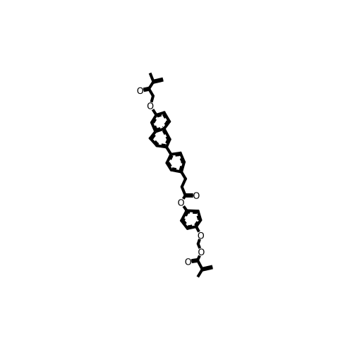 C=C(C)C(=O)COc1ccc2cc(-c3ccc(CCC(=O)Oc4ccc(OCOC(=O)C(=C)C)cc4)cc3)ccc2c1